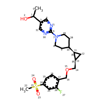 CC(O)c1cnc(N2CCC([C@H]3C[C@H]3COCc3ccc(S(C)(=O)=O)cc3F)CC2)nc1